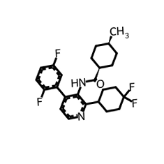 C[C@H]1CC[C@@H](C(=O)Nc2c(-c3cc(F)ccc3F)ccnc2C2CCC(F)(F)CC2)CC1